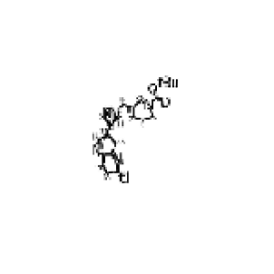 CC(C)(C)OC(=O)N1CCCC(Cn2cc(-c3cnc4ccc(Cl)nc4c3)cn2)C1